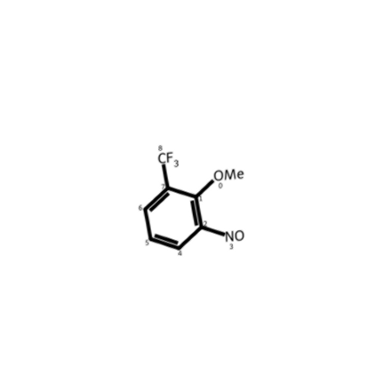 COc1c(N=O)cccc1C(F)(F)F